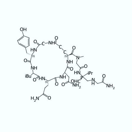 CCC(C)C1NC(=O)[C@H](Cc2ccc(O)cc2)NC(=O)CNC(=O)CC[C@@H](C(=O)N(C)CC(=O)N[C@@](C=O)(CNCC(N)=O)C(C)C)NC(=O)C(CC(N)=O)NC(=O)[C@H](CCC(N)=O)NC1=O